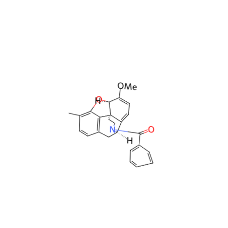 COC1=CC=C2[C@H]3Cc4ccc(C)c5c4[C@@]2(CCN3C(=O)c2ccccc2)[C@H]1O5